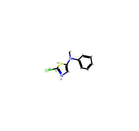 CN(c1ccccc1)c1cnc(Cl)s1